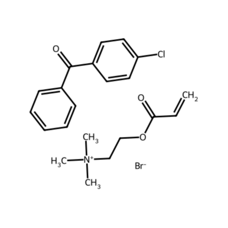 C=CC(=O)OCC[N+](C)(C)C.O=C(c1ccccc1)c1ccc(Cl)cc1.[Br-]